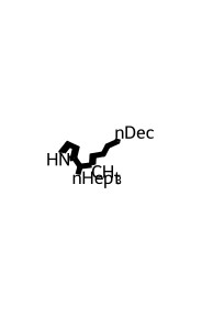 CCCCCCCCCCCCCC=C(C)C(CCCCCCC)c1ccc[nH]1